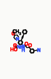 COC1CCN(c2cc(NC(=O)O)c(NC(=O)CC(=O)c3cccc(C#N)c3)cc2C#Cc2ccccc2)CC1